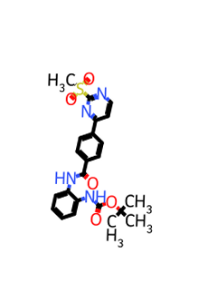 CC(C)(C)OC(=O)Nc1ccccc1NC(=O)c1ccc(-c2ccnc(S(C)(=O)=O)n2)cc1